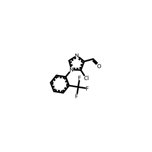 O=Cc1ncn(-c2ccccc2C(F)(F)F)c1Cl